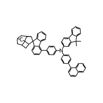 CC1(C)c2ccccc2-c2ccc(N(c3ccc(-c4cccc5c4-c4ccccc4C54C5CC6CC7CC4C7(C6)C5)cc3)c3ccc(-c4cccc5ccccc45)cc3)cc21